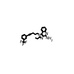 CCc1nc2c(N)nc3ccccc3c2n1CCCC#Cc1cccc(C(F)(F)F)c1